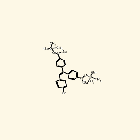 CC(C)(C)N(O[Si](C)(C)C(C)(C)C)c1ccc(C(=Cc2ccc(Br)cc2)c2ccc(N(O[Si](C)(C)C(C)(C)C)C(C)(C)C)cc2)cc1